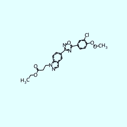 CCOC(=O)CCn1ncc2cc(-c3noc(-c4ccc(OOC)c(Cl)c4)n3)ccc21